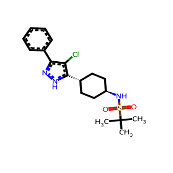 CC(C)(C)S(=O)(=O)N[C@H]1CC[C@H](c2[nH]nc(-c3ccccc3)c2Cl)CC1